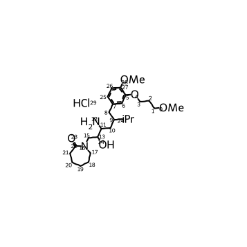 COCCCOc1cc(CC(CC(N)C(O)CN2CCCCCC2=O)C(C)C)ccc1OC.Cl